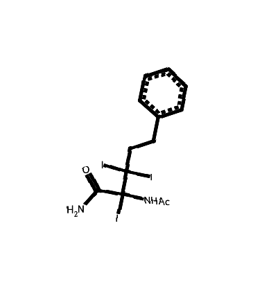 CC(=O)NC(I)(C(N)=O)C(I)(I)CCc1ccccc1